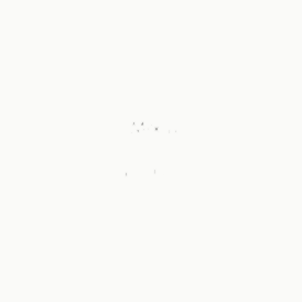 [O]=[Co].[O]=[Mo]